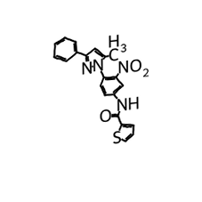 Cc1cc(-c2ccccc2)nn1-c1ccc(NC(=O)c2cccs2)cc1[N+](=O)[O-]